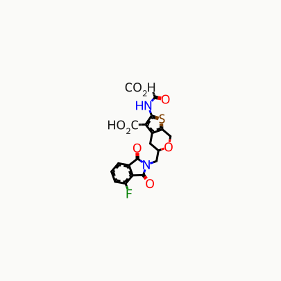 O=C(O)C(=O)Nc1sc2c(c1C(=O)O)CC(CN1C(=O)c3cccc(F)c3C1=O)OC2